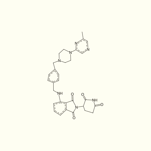 Cc1cncc(N2CCN(Cc3ccc(CNc4cccc5c4C(=O)N(C4CCC(=O)NC4=O)C5=O)cc3)CC2)n1